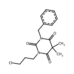 CC1(C)C(=O)N(CCCCl)C(=O)N(Cc2ccccc2)C1=O